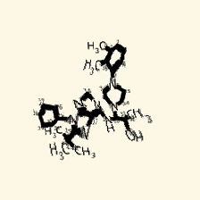 Cc1cccc(N2CCN(C(Nc3ncnc4c3nc(C(C)(C)C)n4-c3ccccc3)C(C)O)CC2)c1C